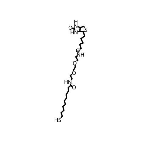 O=C(CCCCCCCCCCS)NCCOCCOCCNOCCCCCC1SCC2NC(=O)NC21